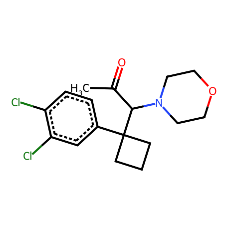 CC(=O)C(N1CCOCC1)C1(c2ccc(Cl)c(Cl)c2)CCC1